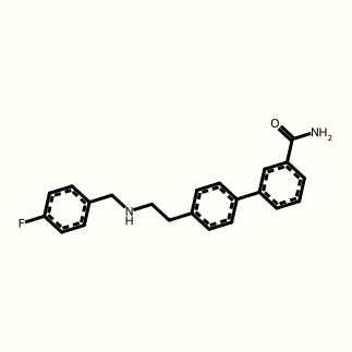 NC(=O)c1cccc(-c2ccc(CCNCc3ccc(F)cc3)cc2)c1